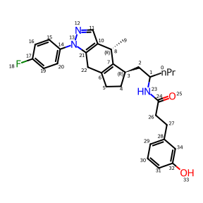 CCCC(C[C@H]1CCC2=C1[C@@H](C)c1cnn(-c3ccc(F)cc3)c1C2)NC(=O)CCc1cccc(O)c1